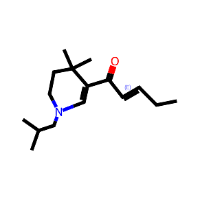 CC/C=C/C(=O)C1=CN(CC(C)C)CCC1(C)C